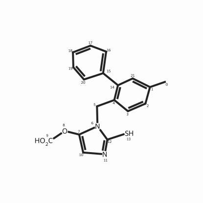 Cc1ccc(Cn2c(OC(=O)O)cnc2S)c(-c2ccccc2)c1